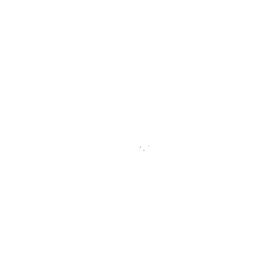 C=Cc1cc[n+](CCCC)cc1.[Cl-]